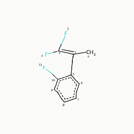 CC(=C(F)F)c1ccccc1F